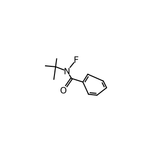 CC(C)(C)N(F)C(=O)c1ccccc1